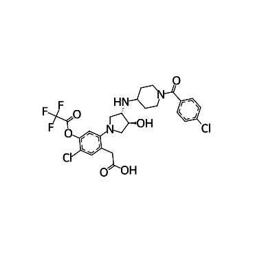 O=C(O)Cc1cc(Cl)c(OC(=O)C(F)(F)F)cc1N1C[C@H](NC2CCN(C(=O)c3ccc(Cl)cc3)CC2)[C@@H](O)C1